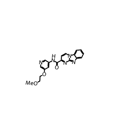 COCCOc1cncc(NC(=O)c2ccn3c(n2)nc2ccccc23)c1